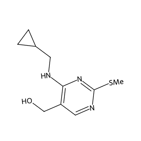 CSc1ncc(CO)c(NCC2CC2)n1